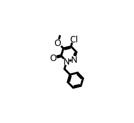 COc1c(Cl)cnn(Cc2ccccc2)c1=O